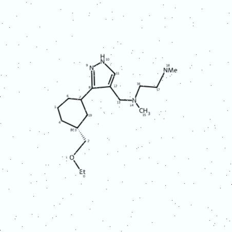 CCOC[C@@H]1CCCC(c2n[nH]cc2CN(C)CCNC)C1